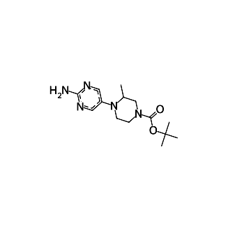 CC1CN(C(=O)OC(C)(C)C)CCN1c1cnc(N)nc1